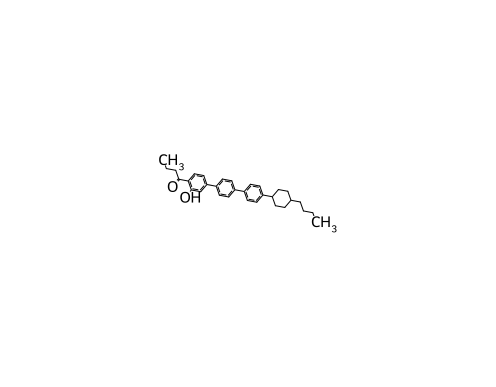 CCCCC1CCC(c2ccc(-c3ccc(-c4ccc(C(=O)CCC)c(O)c4)cc3)cc2)CC1